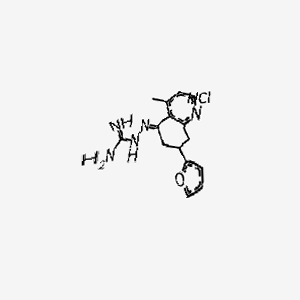 Cc1ccnc2c1C(=NNC(=N)N)CC(c1ccco1)C2.Cl